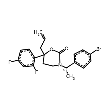 C=CCC1(c2ccc(F)cc2F)CCN([C@@H](C)c2ccc(Br)cc2)C(=O)O1